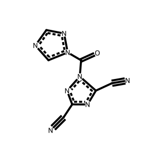 N#Cc1nc(C#N)n(C(=O)n2cncn2)n1